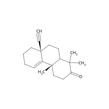 C#C[C@]12CCCC=C1[C@@]1(C)CCC(=O)C(C)(C)C1CC2